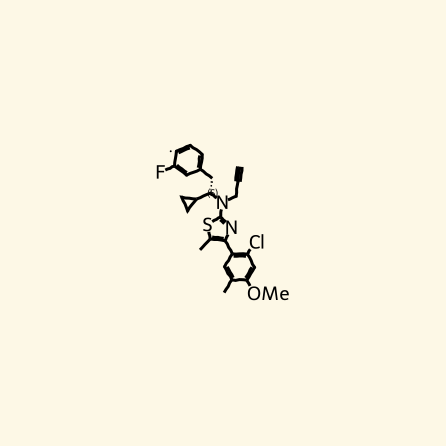 C#CCN(c1nc(-c2cc(C)c(OC)cc2Cl)c(C)s1)[C@@H](Cc1cc[c]c(F)c1)C1CC1